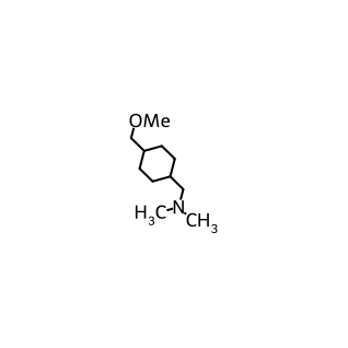 COCC1CCC(CN(C)C)CC1